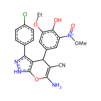 CCOc1cc(C2C(C#N)=C(N)Oc3[nH]nc(-c4ccc(Cl)cc4)c32)cc([N+](=O)OC)c1O